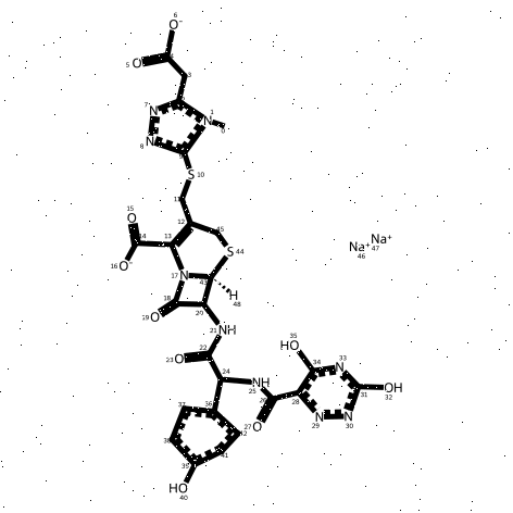 Cn1c(CC(=O)[O-])nnc1SCC1=C(C(=O)[O-])N2C(=O)C(NC(=O)C(NC(=O)c3nnc(O)nc3O)c3ccc(O)cc3)[C@@H]2SC1.[Na+].[Na+]